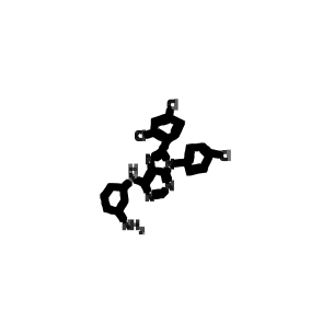 NC1CCCC(Nc2ncnc3c2nc(-c2ccc(Cl)cc2Cl)n3-c2ccc(Cl)cc2)C1